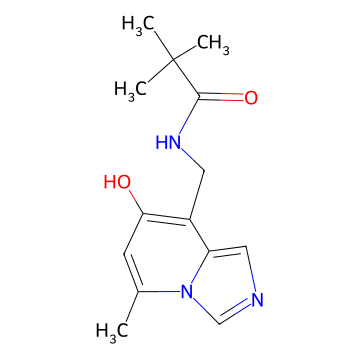 Cc1cc(O)c(CNC(=O)C(C)(C)C)c2cncn12